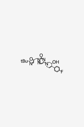 CC(C)(C)c1ncc(Cn2ncc(N3CC=C(c4ccc(F)cc4)C(O)C3)nc2=O)o1